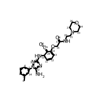 Cc1cccc(-n2nc(NC3C=CC=C(OCC(=O)NCCN4CCOCC4)C3=C=O)nc2N)c1